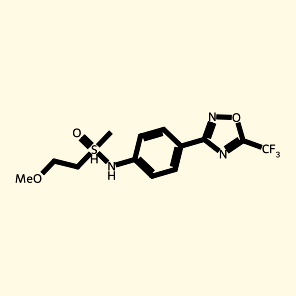 COCC[SH](C)(=O)Nc1ccc(-c2noc(C(F)(F)F)n2)cc1